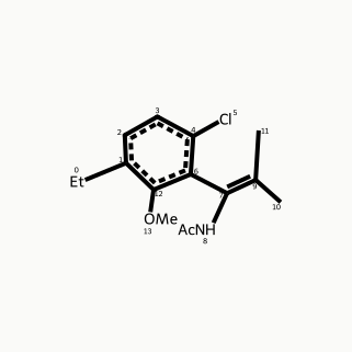 CCc1ccc(Cl)c(C(NC(C)=O)=C(C)C)c1OC